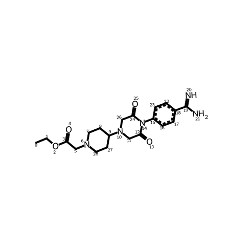 CCOC(=O)CN1CCC(N2CC(=O)N(c3ccc(C(=N)N)cc3)C(=O)C2)CC1